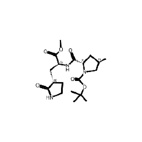 COC(=O)[C@H](C[C@@H]1CCNC1=O)NC(=O)[C@@H]1C[C@@H](C)CN1C(=O)OC(C)(C)C